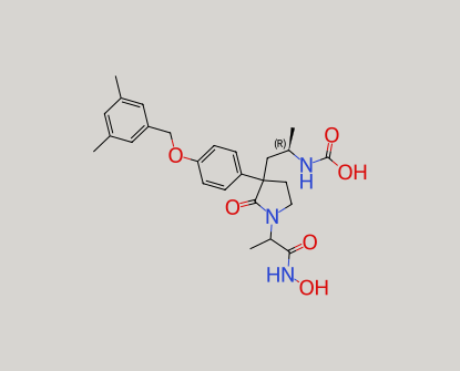 Cc1cc(C)cc(COc2ccc(C3(C[C@@H](C)NC(=O)O)CCN(C(C)C(=O)NO)C3=O)cc2)c1